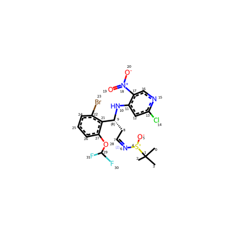 CC(C)(C)[S+]([O-])/N=C\C[C@@H](Nc1cc(Cl)ncc1[N+](=O)[O-])c1c(Br)cccc1OC(F)F